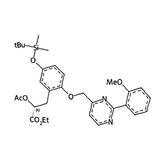 CCOC(=O)[C@@H](Cc1cc(O[Si](C)(C)C(C)(C)C)ccc1OCc1ccnc(-c2ccccc2OC)n1)OC(C)=O